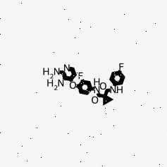 Nc1nccc(Oc2ccc(NC(=O)C3(C(=O)Nc4ccc(F)cc4)CC3)cc2F)c1N